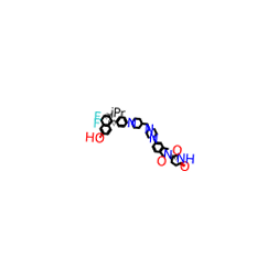 CC(C)[C@H]1CC(F)(F)c2cc(O)ccc2[C@H]1c1ccc(N2CCC(CN3CCN(c4ccc5c(c4)CN([C@H]4CCC(=O)NC4=O)C5=O)CC3)CC2)cc1